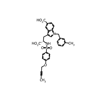 CC#CCOc1ccc(S(=O)(=O)N[C@@H](Cc2cn(Cc3cccc(C)c3)c3ccc(C(=O)O)cc23)C(=O)O)cc1